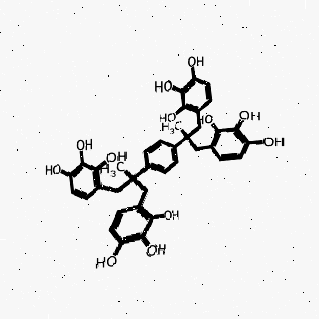 CC(Cc1ccc(O)c(O)c1O)(Cc1ccc(O)c(O)c1O)c1ccc(C(C)(Cc2ccc(O)c(O)c2O)Cc2ccc(O)c(O)c2O)cc1